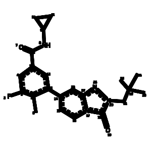 Cc1c(F)cc(C(=O)NC2CC2)cc1-c1ccn2c(=O)n(CC(C)(C)C)nc2c1